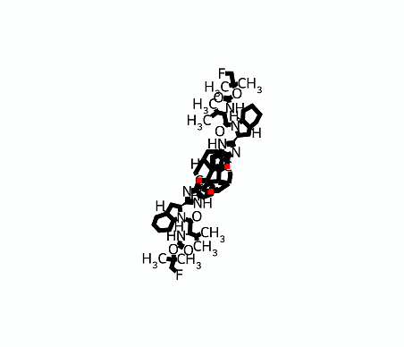 CC(C)[C@H](NC(=O)OC(C)(C)CF)C(=O)N1[C@H](c2nc3cc(C4=CC5=CC[C@@H]4CC[C@@H]4C=CC(=C(c6ccc7[nH]c([C@@H]8C[C@@H]9CCCC[C@@H]9N8C(=O)[C@@H](NC(=O)OC(C)(C)CF)C(C)C)nc7c6)C4)CC5)ccc3[nH]2)C[C@@H]2CCCC[C@@H]21